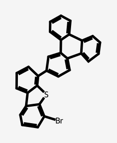 Brc1cccc2c1sc1c(-c3ccc4c5ccccc5c5ccccc5c4c3)cccc12